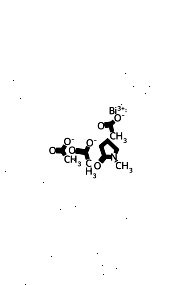 CC(=O)[O-].CC(=O)[O-].CC(=O)[O-].CN1CCCC1=O.[Bi+3]